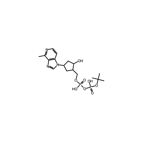 Cc1nccc2c1ncn2C1CC(O)C(COP(=O)(O)OP(=O)(O)OC(C)(C)C)C1